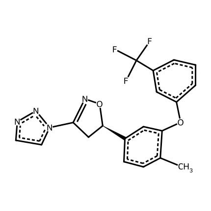 Cc1ccc([C@H]2CC(n3ccnn3)=NO2)cc1Oc1cccc(C(F)(F)F)c1